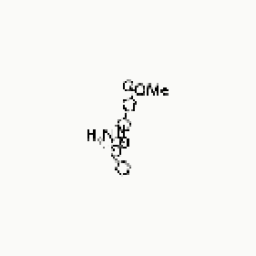 COC(=O)c1ccc(C2CCN(C(=O)[C@@H](N)[C@@H](C)OCC3CCCCC3)CC2)cc1